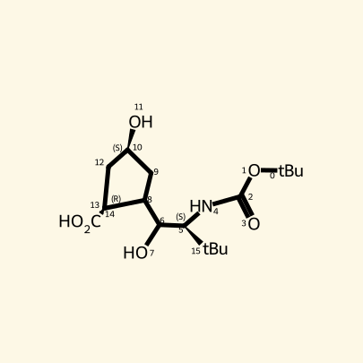 CC(C)(C)OC(=O)N[C@H](C(O)C1C[C@H](O)C[C@H]1C(=O)O)C(C)(C)C